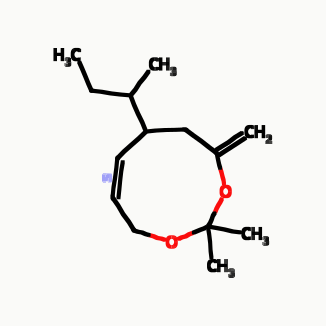 C=C1CC(C(C)CC)/C=C\COC(C)(C)O1